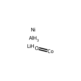 [AlH3].[LiH].[Ni].[O]=[Co]